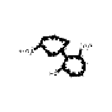 CCOC(=O)c1cccc(-c2c(O)cccc2C(=O)O)c1